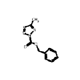 Cc1nnn(C(=O)OCc2ccccc2)n1